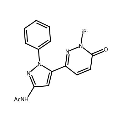 CC(=O)Nc1cc(-c2ccc(=O)n(C(C)C)n2)n(-c2ccccc2)n1